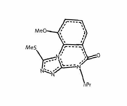 CCCn1c(=O)c2cccc(OC)c2n2c(SC)nnc12